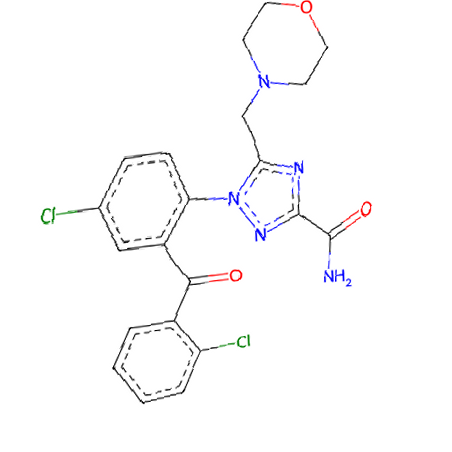 NC(=O)c1nc(CN2CCOCC2)n(-c2ccc(Cl)cc2C(=O)c2ccccc2Cl)n1